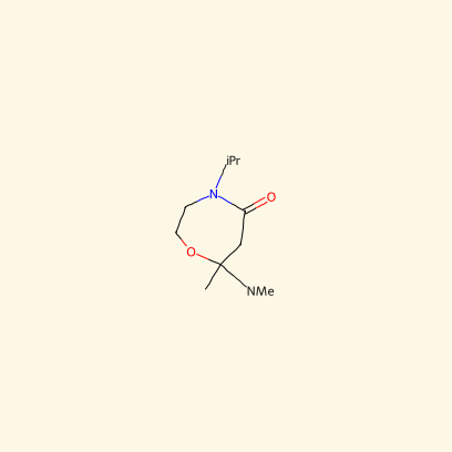 CNC1(C)CC(=O)N(C(C)C)CCO1